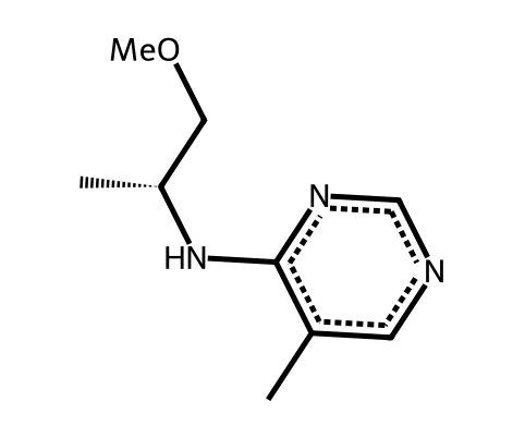 COC[C@@H](C)Nc1ncncc1C